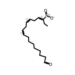 CC/C(=C\C/C=C\C/C=C\CCCCCCC[C]=O)[N+](=O)[O-]